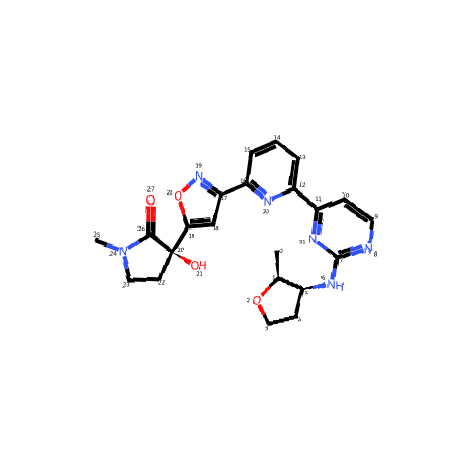 C[C@@H]1OCC[C@@H]1Nc1nccc(-c2cccc(-c3cc([C@]4(O)CCN(C)C4=O)on3)n2)n1